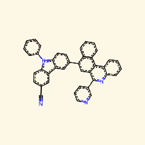 N#Cc1ccc2c(c1)c1cc(-c3cc4c(-c5cccnc5)nc5ccccc5c4c4ccccc34)ccc1n2-c1ccccc1